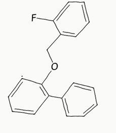 Fc1ccccc1COc1[c]cccc1-c1ccccc1